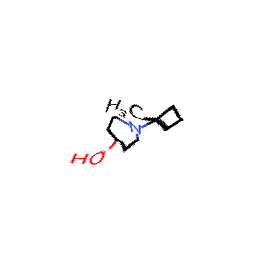 CC1(N2CCC(O)CC2)CCC1